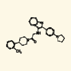 Cc1ccccc1C1CCN(C(=O)CNc2c(-c3ccc(N4CCCC4)cc3)nc3ccccn23)CC1